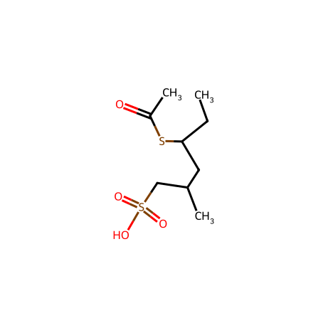 CCC(CC(C)CS(=O)(=O)O)SC(C)=O